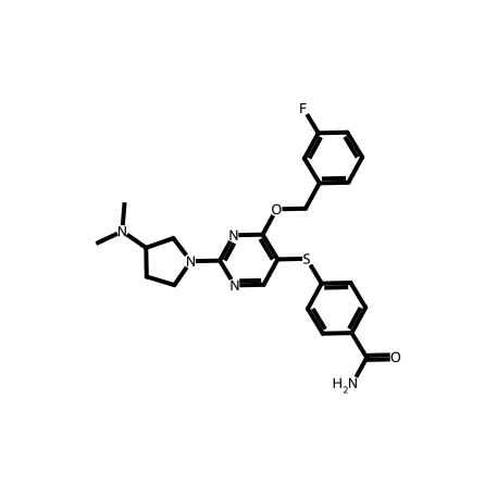 CN(C)C1CCN(c2ncc(Sc3ccc(C(N)=O)cc3)c(OCc3cccc(F)c3)n2)C1